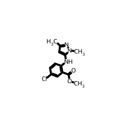 COC(=O)c1cc(Cl)ccc1Nc1cc(C)nn1C